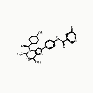 CC1CCC(C(=O)N(c2cc(-c3ccc(NC(=O)c4cncc(F)c4)cc3)sc2C(=O)O)C(C)C)CC1